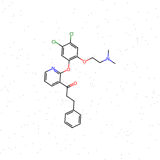 CN(C)CCOc1cc(Cl)c(Cl)cc1Oc1ncccc1C(=O)CCc1ccccc1